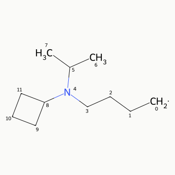 [CH2]CCCN(C(C)C)C1CCC1